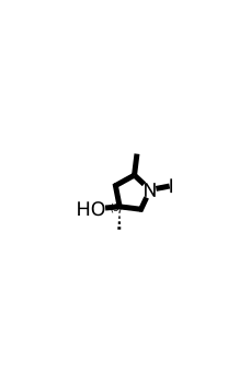 CC1C[C@](C)(O)CN1I